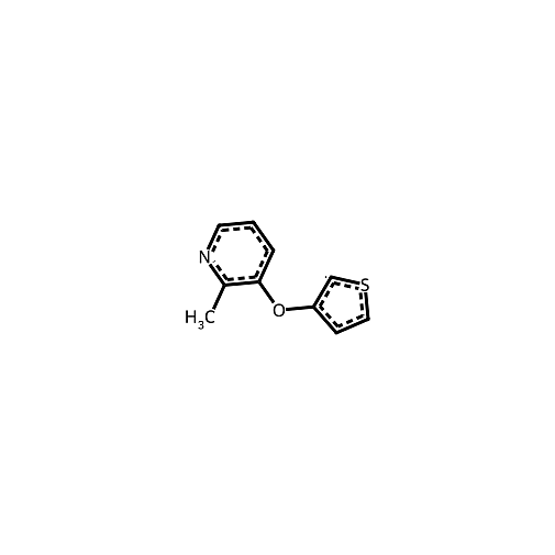 Cc1ncccc1Oc1[c]scc1